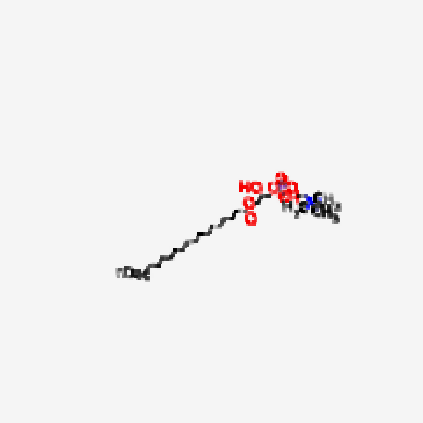 CCCCCCCCCCCCCCCCCCCCCCCCCC(=O)OC[C@@H](O)COP(=O)(O)OCC[N+](C)(C)C